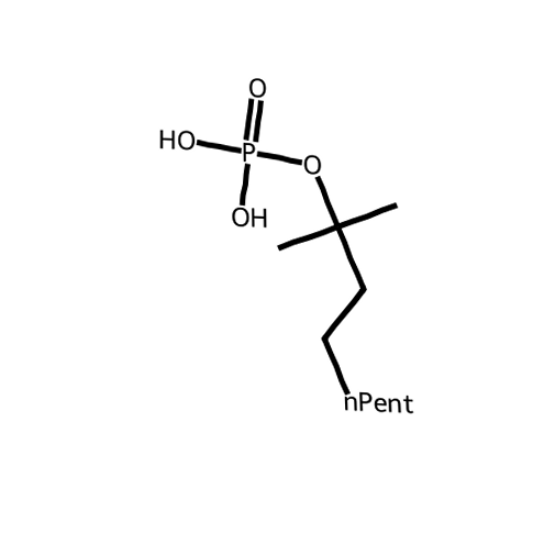 CCCCCCCC(C)(C)OP(=O)(O)O